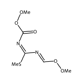 COO/C=N/C(=N\C(=O)OOC)SC